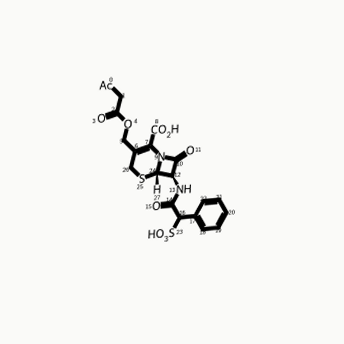 CC(=O)CC(=O)OCC1=C(C(=O)O)N2C(=O)[C@@H](NC(=O)C(c3ccccc3)S(=O)(=O)O)[C@@H]2SC1